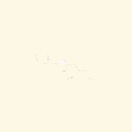 CCCc1ccc2sc(-c3ccccc3)nc2c1